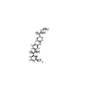 CC(C)(C)CNC(=O)C1CCN(Cc2cccc(NC(=O)c3cccc(C(F)(F)F)n3)c2)CC1